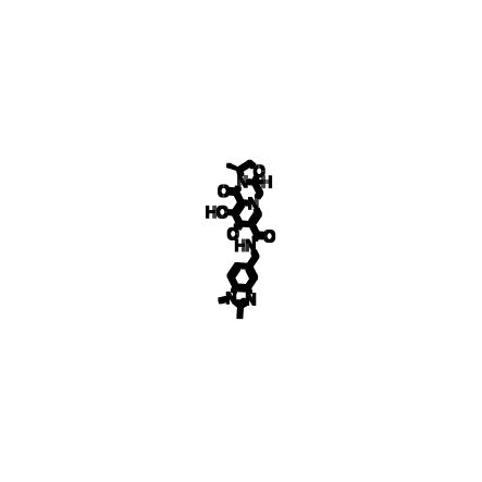 Cc1nc2cc(CNC(=O)c3cn4c(c(O)c3=O)C(=O)N3[C@@H](C)CO[C@@H]3C4)ccc2n1C